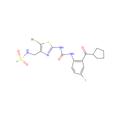 CS(=O)(=O)NCc1nc(NC(=O)Nc2ccc(F)cc2C(=O)C2CCCC2)sc1Br